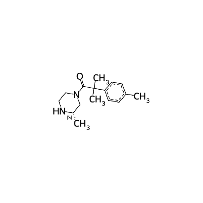 Cc1ccc(C(C)(C)C(=O)N2CCN[C@@H](C)C2)cc1